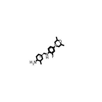 CC1CN(c2ccc(NC[C@@H]3CCC(N)C(C)C3)c(F)c2)CC(C)O1